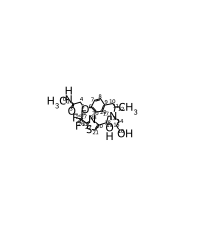 CNC(=O)COc1ccc(CC(C)N(CCO)CC(O)c2csc(C(F)(F)F)n2)cc1